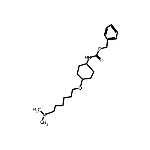 CN(C)CCCCCCOC1CCC(NC(=O)OCc2ccccc2)CC1